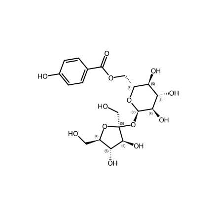 O=C(OC[C@H]1O[C@H](O[C@]2(CO)O[C@H](CO)[C@@H](O)[C@@H]2O)[C@H](O)[C@@H](O)[C@@H]1O)c1ccc(O)cc1